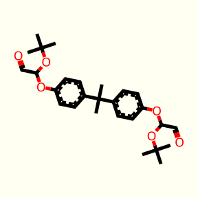 CC(C)(C)OC(C=O)Oc1ccc(C(C)(C)c2ccc(OC(C=O)OC(C)(C)C)cc2)cc1